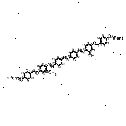 CCCCCOc1ccc(COc2ccc(N=Nc3ccc(N=Nc4ccc(N=Nc5ccc(OCc6ccc(OCCCCC)cc6)cc5C)cc4)cc3)c(C)c2)cc1